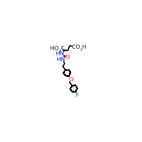 O=C(O)CC[C@H](NC(=O)NCCc1ccc(OCc2ccc(F)cc2)cc1)C(=O)O